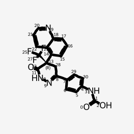 O=C(O)Nc1ccc(C2=NNC(=O)[C@@](c3cccc4ncccc34)(C(F)(F)F)C2)cc1